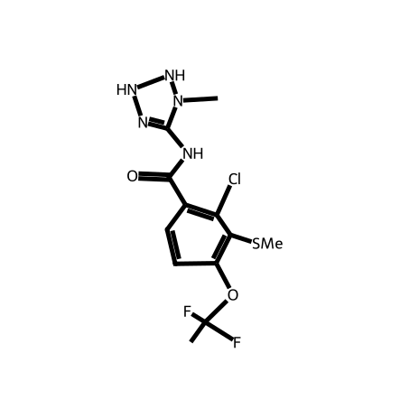 CSc1c(OC(C)(F)F)ccc(C(=O)NC2=NNNN2C)c1Cl